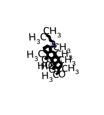 CC(=O)C1=C(C)C[C@@]2(C)C[C@@]3(C)Cc4c(/C(C)=C\CCC(C)C)ccc(C)c4C(=O)C3=C(O)[C@@]2(O)C1=O